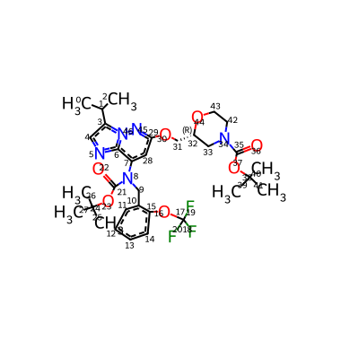 CC(C)c1cnc2c(N(Cc3ccccc3OC(F)(F)F)C(=O)OC(C)(C)C)cc(OC[C@H]3CN(C(=O)OC(C)(C)C)CCO3)nn12